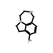 CCCc1ccc2c3c1CCN3CCNC2